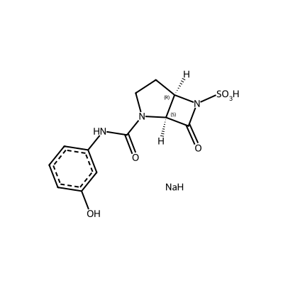 O=C(Nc1cccc(O)c1)N1CC[C@@H]2[C@H]1C(=O)N2S(=O)(=O)O.[NaH]